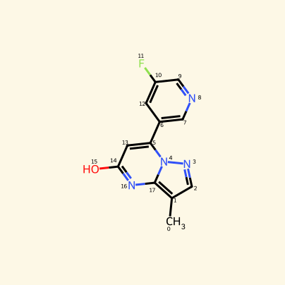 Cc1cnn2c(-c3cncc(F)c3)cc(O)nc12